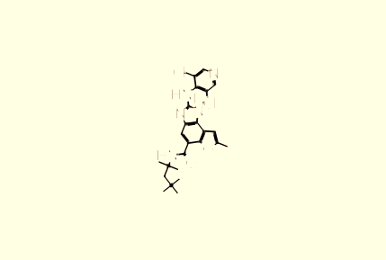 Cc1cc2c(o1)c(C(=O)NC(C)(C)CC(C)(C)C)cc1nc(Nc3c(Cl)cncc3Cl)[nH]c12